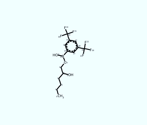 CCCCC(O)COB(O)c1cc(C(F)(F)F)cc(C(F)(F)F)c1